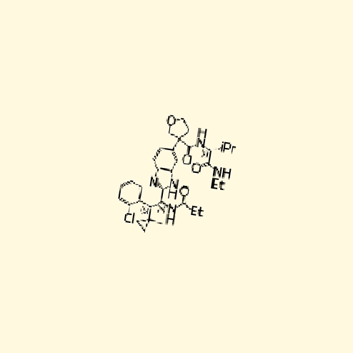 CCNC(=O)[C@H](NC(=O)C1(c2ccc3nc([C@@H](NC(=O)CC)[C@H](c4ccccc4Cl)C4(C)CC4)[nH]c3c2)CCOC1)C(C)C